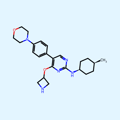 C[C@H]1CC[C@@H](Nc2ncc(-c3ccc(N4CCOCC4)cc3)c(OC3CNC3)n2)CC1